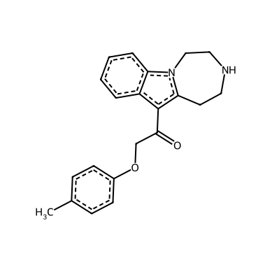 Cc1ccc(OCC(=O)c2c3n(c4ccccc24)CCNCC3)cc1